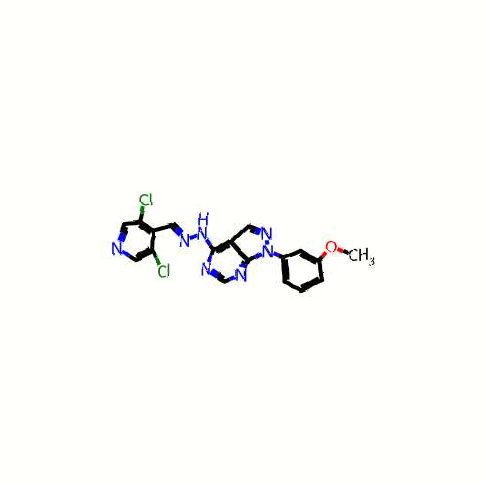 COc1cccc(-n2ncc3c(N/N=C/c4c(Cl)cncc4Cl)ncnc32)c1